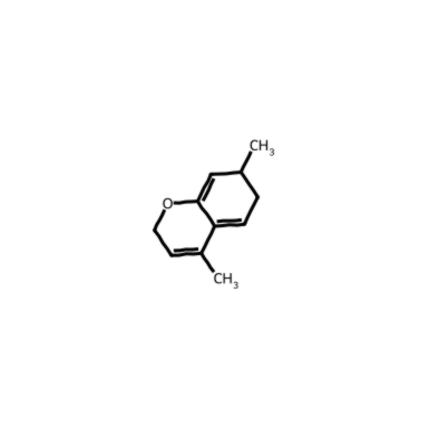 CC1=CCOC2=CC(C)CC=C12